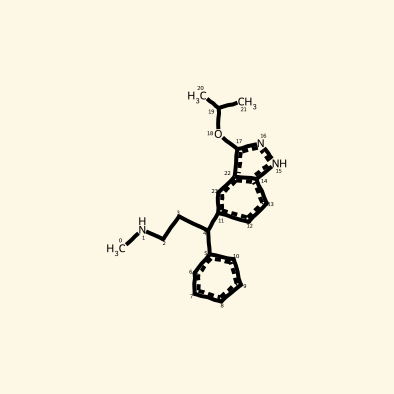 CNCCC(c1ccccc1)c1ccc2[nH]nc(OC(C)C)c2c1